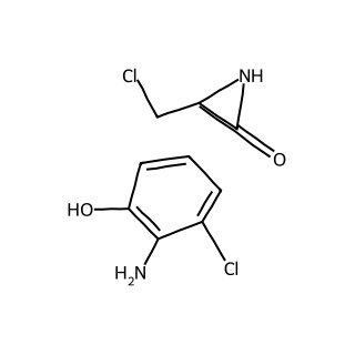 Nc1c(O)cccc1Cl.O=C1NC1CCl